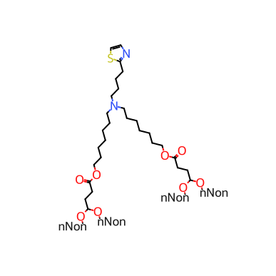 CCCCCCCCCOC(CCC(=O)OCCCCCCCN(CCCCCCCOC(=O)CCC(OCCCCCCCCC)OCCCCCCCCC)CCCCc1nccs1)OCCCCCCCCC